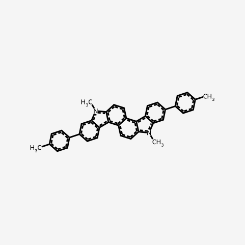 Cc1ccc(-c2ccc3c4c5ccc6c(c5ccc4n(C)c3c2)c2ccc(-c3ccc(C)cc3)cc2n6C)cc1